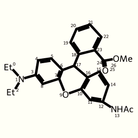 CCN(CC)c1ccc2c(c1)Oc1cc(NC(C)=O)ccc1C2c1ccccc1C(=O)OC